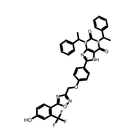 CC(c1ccccc1)n1c(=O)c2[nH]c(-c3ccc(OCc4noc(-c5ccc(O)cc5C(F)(F)F)n4)cc3)nc2n(C(C)c2ccccc2)c1=O